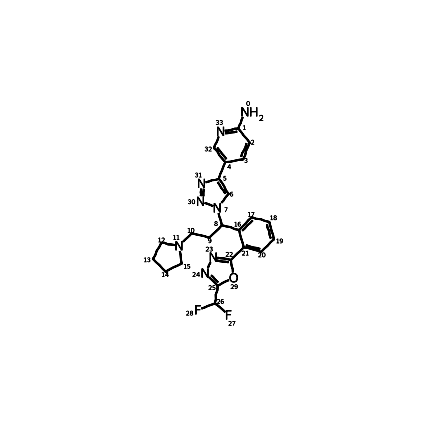 Nc1ccc(-c2cn(C(CCN3CCCC3)c3ccccc3-c3nnc(C(F)F)o3)nn2)cn1